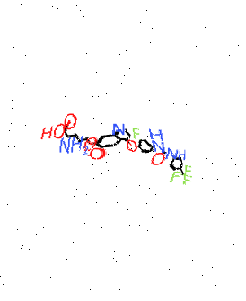 COc1cc2c(Oc3ccc(NC(=O)Nc4ccc(C(F)(F)F)cc4)cc3F)ccnc2cc1OCCCC(N)C(=O)O